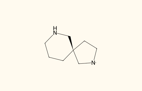 C1CNC[C@@]2(C1)CC[N]C2